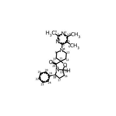 Cc1nc(C)c(C)c(N2CCC3(CC2)O[C@@H]2CC[C@@H](c4ccccc4)N2C3=O)n1